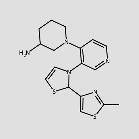 Cc1nc(C2SC=CN2c2cnccc2N2CCCC(N)C2)cs1